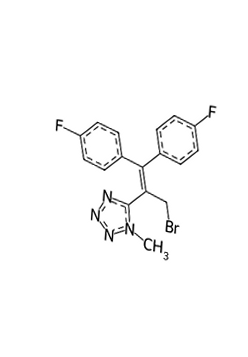 Cn1nnnc1C(CBr)=C(c1ccc(F)cc1)c1ccc(F)cc1